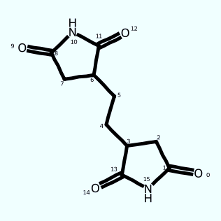 O=C1CC(CCC2CC(=O)NC2=O)C(=O)N1